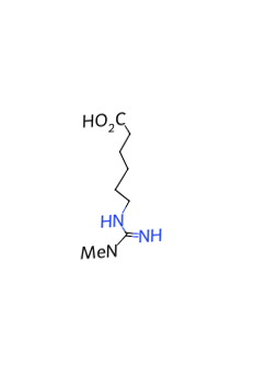 CNC(=N)NCCCCCC(=O)O